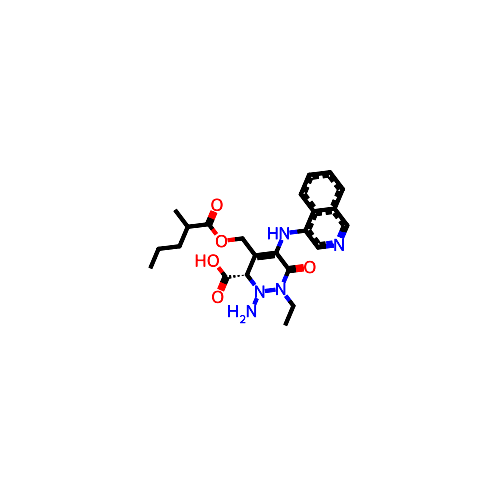 CCCC(C)C(=O)OCC1=C(Nc2cncc3ccccc23)C(=O)N(CC)N(N)[C@@H]1C(=O)O